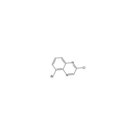 Clc1cnc2c(Br)cccc2n1